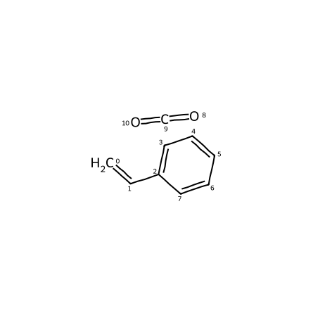 C=Cc1ccccc1.O=C=O